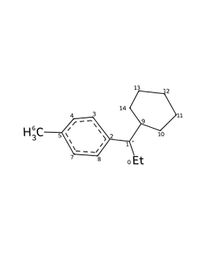 CC[C](c1ccc(C)cc1)C1CCCCC1